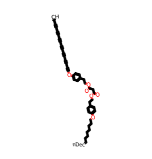 C#CC#CC#CC#CC#CC#CC#CC#COc1ccc(CCOC(=O)CC(=O)OCCc2ccc(OCCCCCCCCCCCCCCCCCC)cc2)cc1